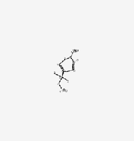 CC(C)(C)CC(C)(C)C1=CCC(C(C)(C)C)N=C1